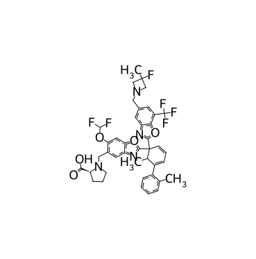 Cc1ccccc1C1=CC=CC(c2nc3cc(CN4CCC[C@H]4C(=O)O)c(OC(F)F)cc3o2)(c2nc3cc(CN4CC(C)(F)C4)cc(C(F)(F)F)c3o2)C1C